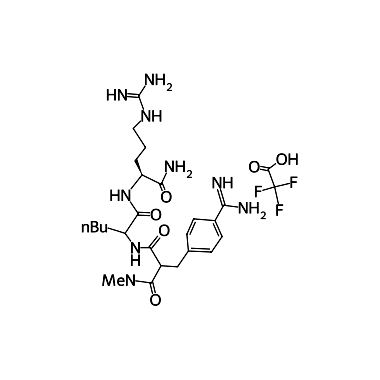 CCCCC(NC(=O)C(Cc1ccc(C(=N)N)cc1)C(=O)NC)C(=O)N[C@@H](CCCNC(=N)N)C(N)=O.O=C(O)C(F)(F)F